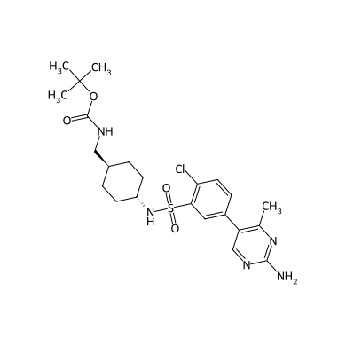 Cc1nc(N)ncc1-c1ccc(Cl)c(S(=O)(=O)N[C@H]2CC[C@H](CNC(=O)OC(C)(C)C)CC2)c1